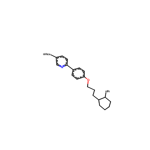 CCCCCCc1ccc(-c2ccc(OCCCC3CCCCC3CCC)cc2)nc1